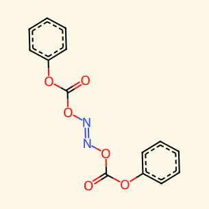 O=C(ON=NOC(=O)Oc1ccccc1)Oc1ccccc1